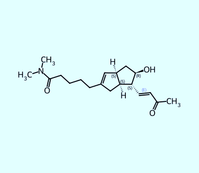 CC(=O)/C=C/[C@@H]1[C@H]2CC(CCCCC(=O)N(C)C)=C[C@H]2C[C@H]1O